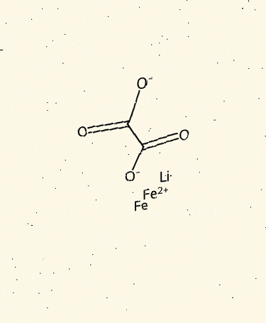 O=C([O-])C(=O)[O-].[Fe+2].[Fe].[Li]